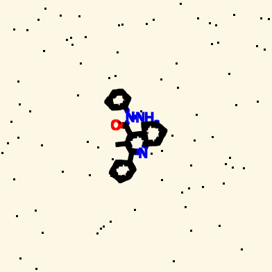 Cc1c(-c2ccccc2)nc2ccccc2c1C(=O)N(N)c1ccccc1